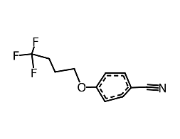 N#Cc1ccc(OCCCC(F)(F)F)cc1